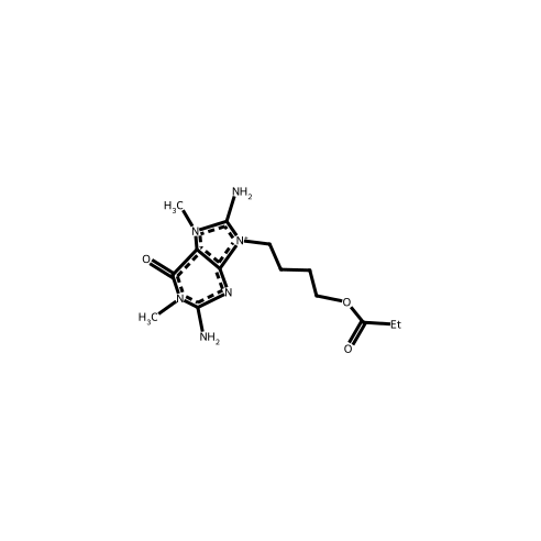 CCC(=O)OCCCC[n+]1c(N)n(C)c2c(=O)n(C)c(N)nc21